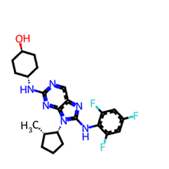 C[C@H]1CCC[C@H]1n1c(Nc2c(F)cc(F)cc2F)nc2cnc(N[C@H]3CC[C@H](O)CC3)nc21